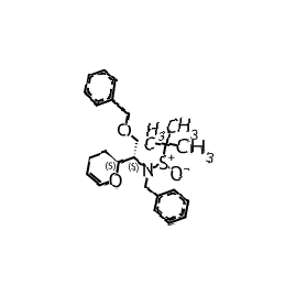 CC(C)(C)[S+]([O-])N(Cc1ccccc1)[C@@H](COCc1ccccc1)[C@@H]1CCC=CO1